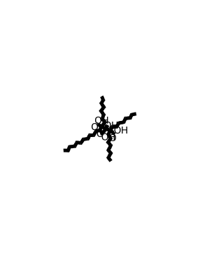 CCCCCCCCCCCCC(CCCCCCCC)(C(=O)O)C(O)(C(=O)O)C(CCCCCCCC)(CCCCCCCC)C(=O)O